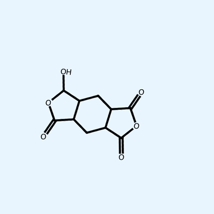 O=C1OC(=O)C2CC3C(O)OC(=O)C3CC12